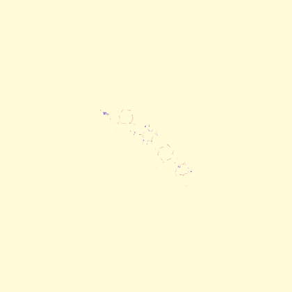 COc1cc(-c2nc(Nc3cccc(C#N)c3F)n(C)n2)ccc1-n1cnc(C)c1